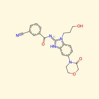 N#Cc1cccc(C(=O)/N=c2\[nH]c3cc(N4CCOCC4=O)ccc3n2CCCO)c1